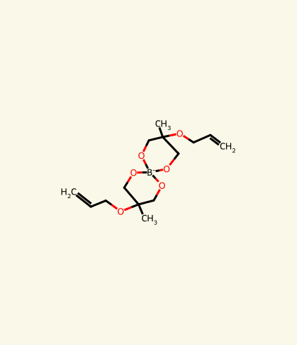 C=CCOC1(C)CO[B-]2(OC1)OCC(C)(OCC=C)CO2